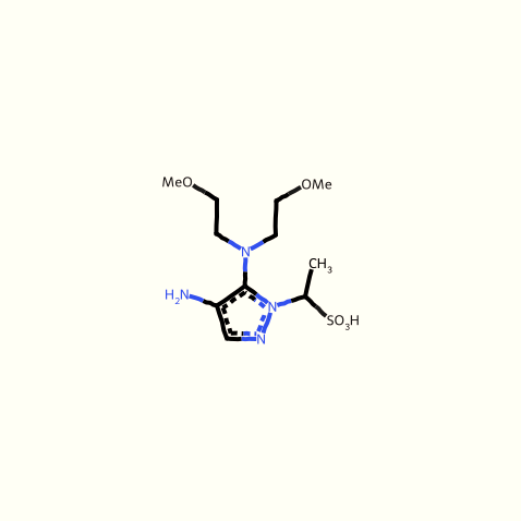 COCCN(CCOC)c1c(N)cnn1C(C)S(=O)(=O)O